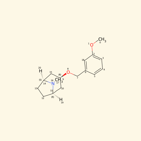 COc1cccc(CO[C@H]2C[C@H]3CC[C@@H](C2)N3C)c1